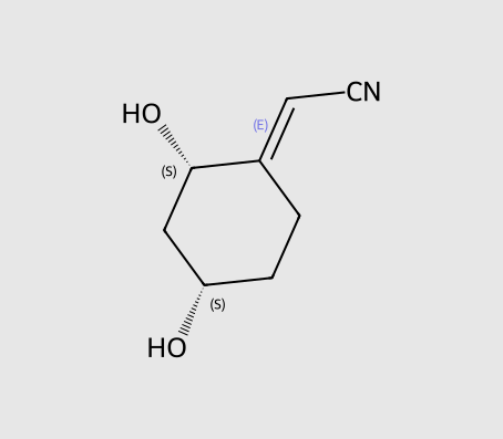 N#C/C=C1\CC[C@H](O)C[C@@H]1O